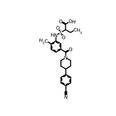 CCC(C(=O)O)S(=O)(=O)Nc1cc(C(=O)N2CCC(c3ccc(C#N)cc3)CC2)ccc1C